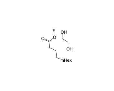 CCCCCCCCCC(=O)OF.OCCO